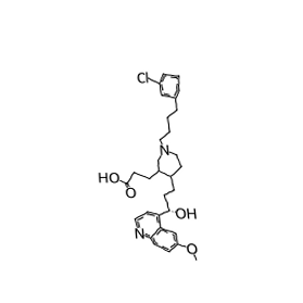 COc1ccc2nccc([C@@H](O)CCC3CCN(CCCCc4cccc(Cl)c4)CC3CCC(=O)O)c2c1